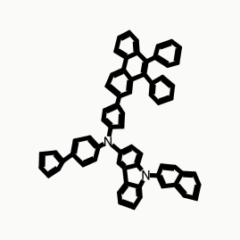 c1ccc(-c2ccc(N(c3ccc(-c4ccc5c(c4)c(-c4ccccc4)c(-c4ccccc4)c4ccccc45)cc3)c3ccc4c(c3)c3ccccc3n4-c3ccc4ccccc4c3)cc2)cc1